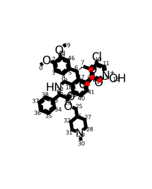 COc1ccc([C@H](Cc2c(Cl)c[n+](O)cc2Cl)c2c(CNC(C(=O)OCC3CCN(C)CC3)c3ccccc3)cccc2C(=O)[O-])cc1OC